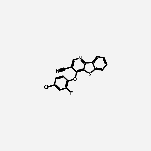 N#Cc1cnc2c(sc3ccccc32)c1Oc1ccc(Cl)cc1F